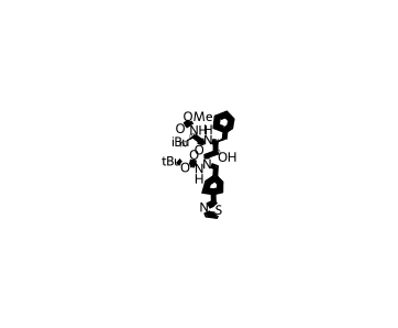 CC[C@H](C)[C@H](NC(=O)OC)C(=O)N[C@@H](Cc1ccccc1)[C@@H](O)CN(Cc1ccc(-c2nccs2)cc1)NC(=O)OC(C)(C)C